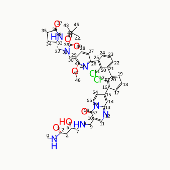 CNC(=O)C[C@H](O)CNCc1cnc2cc(-c3cccc(-c4cccc(-c5ccc(CN(C[C@@H]6CCC(=O)N6)C(=O)OC(C)(C)C)c(OC)n5)c4Cl)c3Cl)ccn2c1=O